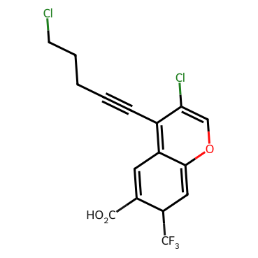 O=C(O)C1=CC2=C(C#CCCCCl)C(Cl)=COC2=CC1C(F)(F)F